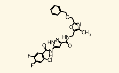 Cc1nc(COCc2ccccc2)oc1CNC(=O)c1cc(NC(=O)c2cc(F)c(F)cc2Cl)[nH]n1